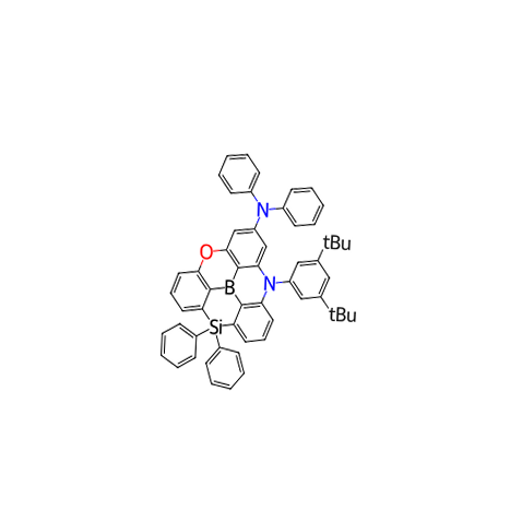 CC(C)(C)c1cc(N2c3cc(N(c4ccccc4)c4ccccc4)cc4c3B3c5c(cccc5[Si](c5ccccc5)(c5ccccc5)c5cccc2c53)O4)cc(C(C)(C)C)c1